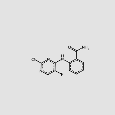 NC(=O)c1ccccc1Nc1nc(Cl)ncc1F